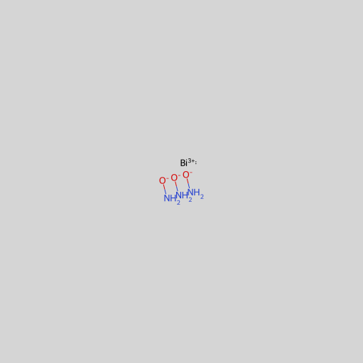 N[O-].N[O-].N[O-].[Bi+3]